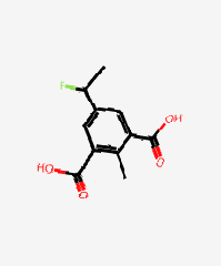 Cc1c(C(=O)O)cc(C(C)F)cc1C(=O)O